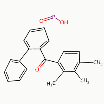 Cc1ccc(C(=O)c2ccccc2-c2ccccc2)c(C)c1C.O=PO